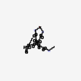 CCCCC/C=C\CCOC(=O)CCCC(=O)OCC(COC(=O)CCCC(=O)OCC/C=C\CCCCC)(COC(=O)CCCC(=O)OCC/C=C\CCCCC)COC(=O)CCC(CCCCCC)OC(=O)NCCN1CCCC1